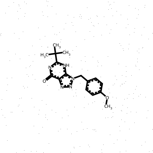 COc1ccc(Cn2nnc3c(=O)nc(C(C)(C)C)[nH]c32)cc1